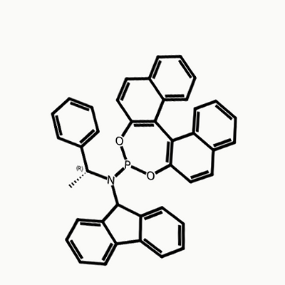 C[C@H](c1ccccc1)N(C1c2ccccc2-c2ccccc21)p1oc2ccc3ccccc3c2c2c(ccc3ccccc32)o1